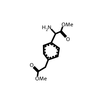 COC(=O)Cc1ccc(C(N)C(=O)OC)cc1